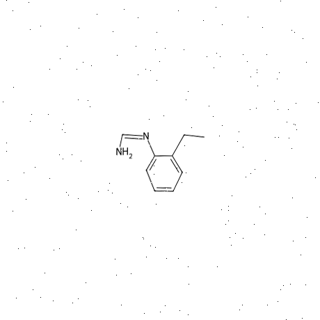 CCc1ccccc1/N=C\N